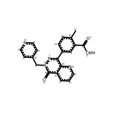 COC(=O)c1cc(-c2nn(Cc3ccncc3)c(=O)c3cccnc23)ccc1C